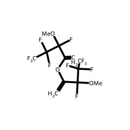 C=C(OC(=C)C(F)(OC)C(F)(F)C(F)(F)F)C(F)(OC)C(F)(F)C(F)(F)F